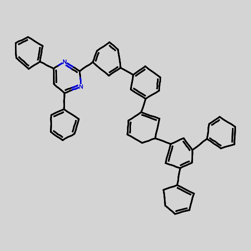 C1=CCCC(c2cc(-c3ccccc3)cc(C3C=C(c4cccc(-c5cccc(-c6nc(-c7ccccc7)cc(-c7ccccc7)n6)c5)c4)C=CC3)c2)=C1